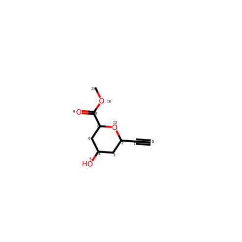 C#CC1CC(O)CC(C(=O)OC)O1